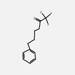 O=C(CCCCc1ccccc1)C(F)(F)F